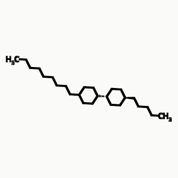 CCCCCCCCCC1CCC([C@H]2CC[C@H](CCCCC)CC2)CC1